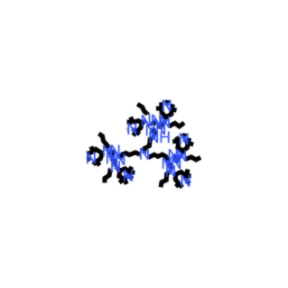 CCCCN(c1nc(CCCCN(CCCCc2nc(N(CCCC)C3CC(C)(C)N(C)C(C)(C)C3)nc(N(CCCC)C3CC(C)(C)N(C)C(C)(C)C3)n2)CCCNc2nc(N(CCCC)C3CC(C)(C)N(C)C(C)(C)C3)nc(N(CCCC)C3CC(C)(C)N(C)C(C)(C)C3)n2)nc(N(CCCC)C2CC(C)(C)N(C)C(C)(C)C2)n1)C1CC(C)(C)N(C)C(C)(C)C1